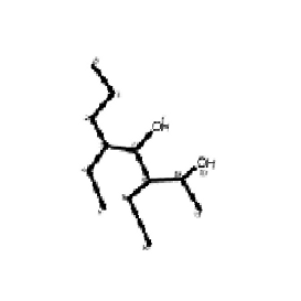 CCCC(CC)C(O)C(CC)C(C)O